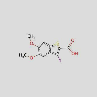 COc1cc2sc(C(=O)O)c(I)c2cc1OC